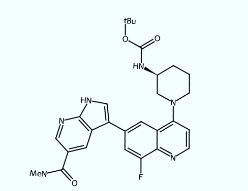 CNC(=O)c1cnc2[nH]cc(-c3cc(F)c4nccc(N5CCC[C@H](NC(=O)OC(C)(C)C)C5)c4c3)c2c1